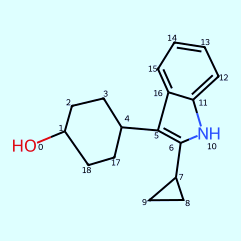 OC1CCC(c2c(C3CC3)[nH]c3ccccc23)CC1